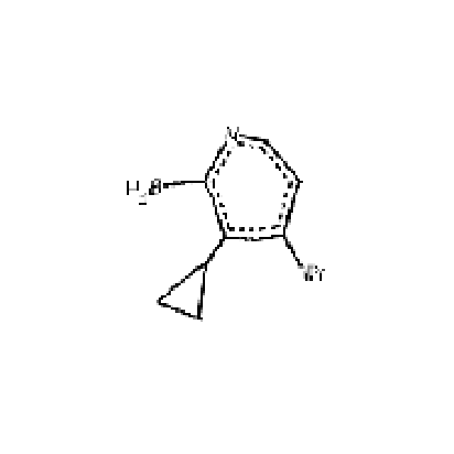 Bc1nccc(C(C)C)c1C1CC1